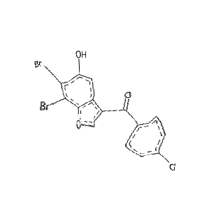 O=C(c1ccc(Cl)cc1)c1coc2c(Br)c(Br)c(O)cc12